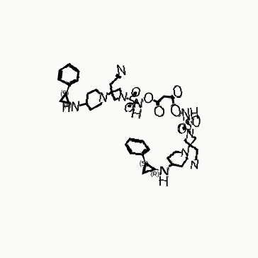 N#CCC1(N2CCC(N[C@@H]3C[C@H]3c3ccccc3)CC2)CN(S(=O)(=O)NOC(=O)CC(=O)ONS(=O)(=O)N2CC(CC#N)(N3CCC(N[C@@H]4C[C@H]4c4ccccc4)CC3)C2)C1